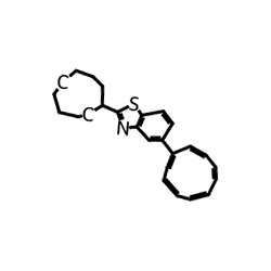 c1ccccc(-c2ccc3sc(C4CCCCCCCC4)nc3c2)cccc1